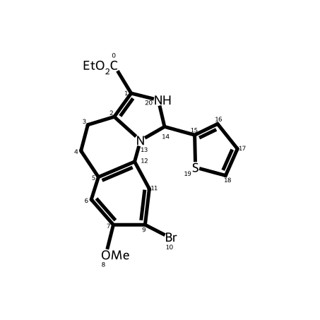 CCOC(=O)C1=C2CCc3cc(OC)c(Br)cc3N2C(c2cccs2)N1